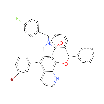 O=C1c2c(c(-c3cccc(Br)c3)c3cccnc3c2OC(c2ccccc2)c2ccccc2)CN1Cc1ccc(F)cc1